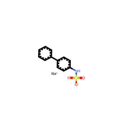 O=S(=O)([O-])Nc1ccc(-c2ccccc2)cc1.[Na+]